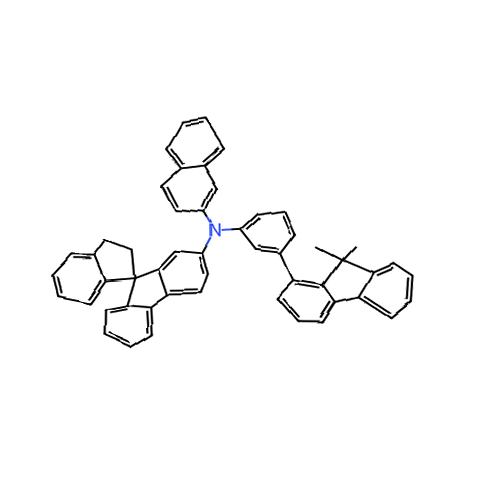 CC1(C)c2ccccc2-c2cccc(-c3cccc(N(c4ccc5c(c4)C4(CCc6ccccc64)c4ccccc4-5)c4ccc5ccccc5c4)c3)c21